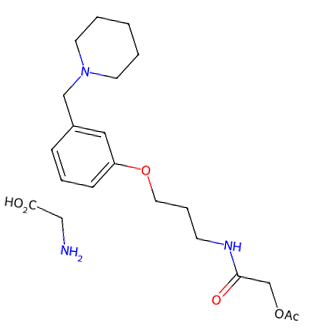 CC(=O)OCC(=O)NCCCOc1cccc(CN2CCCCC2)c1.NCC(=O)O